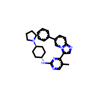 Cc1cnc(N[C@H]2CC[C@H](N3CCCC3)CC2)nc1-c1cnc2ccc(-c3ccccc3)cn12